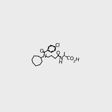 C[C@H](NC(=O)CCCN(C(=O)c1ccc(Cl)cc1)C1CCCCCCC1)C(=O)O